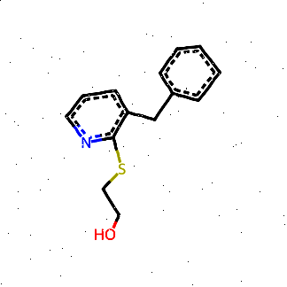 OCCSc1ncccc1Cc1ccccc1